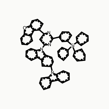 c1ccc([Si](c2ccccc2)(c2ccccc2)c2cccc(-c3nc(-c4cccc5oc6ccccc6c45)cc(-n4c5ccccc5c5cc(-n6c7ccccc7c7ccccc76)ccc54)n3)c2)cc1